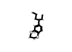 CCCC(CC)c1ccc2c(c1)OCCO2